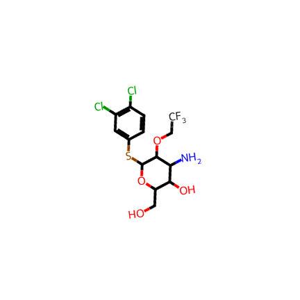 NC1C(O)C(CO)OC(Sc2ccc(Cl)c(Cl)c2)C1OCC(F)(F)F